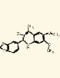 COc1cc2c(cc1OC)C(C)=[N+]([O-])C(c1ccc3c(c1)OCO3)N2